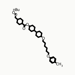 [CH2+][CH-]CCOOCC1CCC(C(=O)OC2CCC(C3CCC(OCCCCCCOc4ccc(C)cc4)CC3)CC2)CC1